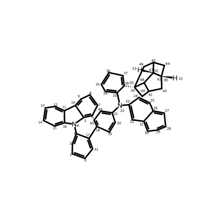 c1ccc(-n2c3ccccc3c3ccccc32)c(-c2ccc(N(c3ccc4ccccc4c3)c3ccccc3[C@]34CC5C[C@H]6CC(C3)[C@H]6C54)cc2)c1